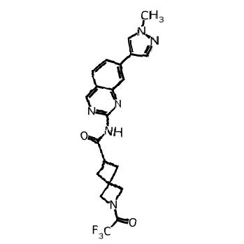 Cn1cc(-c2ccc3cnc(NC(=O)C4CC5(C4)CN(C(=O)C(F)(F)F)C5)nc3c2)cn1